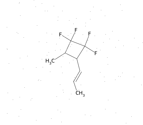 CC=CC1C(C)C(F)(F)C1(F)F